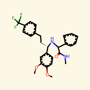 CNC(=O)C(N[C@@H](CCc1ccc(C(F)(F)F)cc1)c1ccc(OC)c(OC)c1)c1ccccc1